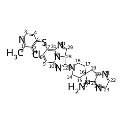 Cc1nccc(Sc2ccc3nc(N4CCC5(CC4)CC4N=CC=NC4[C@H]5N)c4cnc2n34)c1Cl